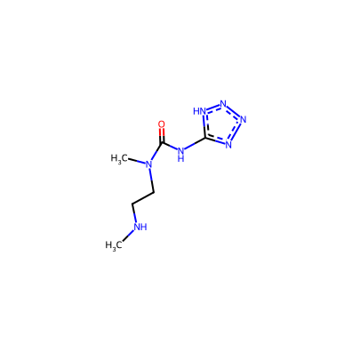 CNCCN(C)C(=O)Nc1nnn[nH]1